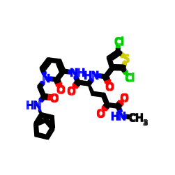 CNC(=O)C(=O)CC[C@H](NC(=O)c1cc(Cl)sc1Cl)C(=O)Nc1cccn(CC(=O)N[C@@H]2CC3CCC2C3)c1=O